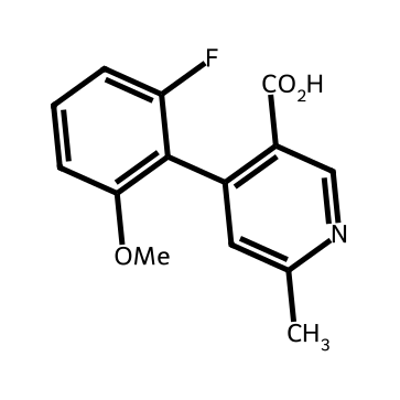 COc1cccc(F)c1-c1cc(C)ncc1C(=O)O